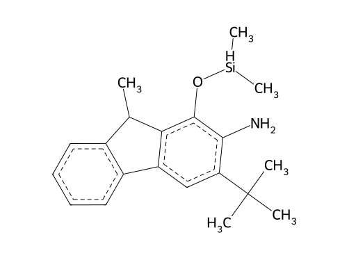 CC1c2ccccc2-c2cc(C(C)(C)C)c(N)c(O[SiH](C)C)c21